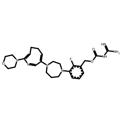 N=C(N)NC(=O)OCc1cccc(N2CCCN(C3=C/CC/C=C(N4CCOCC4)/N=C\3)CC2)c1F